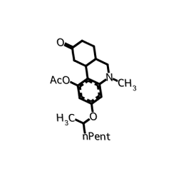 CCCCCC(C)Oc1cc(OC(C)=O)c2c(c1)N(C)CC1CCC(=O)CC21